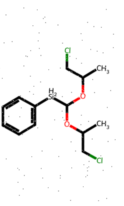 CC(CCl)OC(OC(C)CCl)[SiH2]c1ccccc1